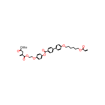 C=CC(=O)OCCCCCCOc1ccc(-c2ccc(C(=O)Oc3ccc(OCCOC(=O)C(=C)CC(=O)OC)cc3)cc2)cc1